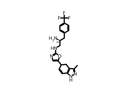 Cc1n[nH]c2c1CC(c1cnc(NC[C@@H](N)Cc3ccc(C(F)(F)F)cc3)o1)C=C2